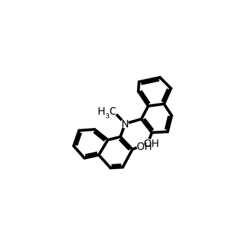 CN(c1c(O)ccc2ccccc12)c1c(O)ccc2ccccc12